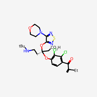 C=C(CC)C(=O)c1ccc(O[C@]([CH]CNC(C)(C)C)(CC(=O)O)Oc2nsnc2N2CCOCC2)c(Cl)c1Cl